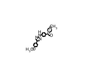 COc1ccc(-c2cnc(Nc3ccc(C(C=O)N4CCN(C)CC4)cc3)nc2)cc1